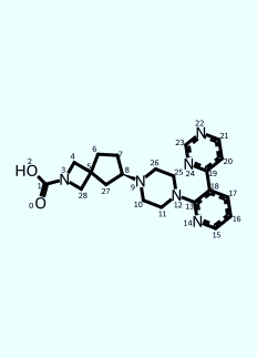 O=C(O)N1CC2(CC[C@@H](N3CCN(c4ncccc4-c4ccncn4)CC3)C2)C1